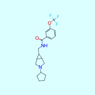 O=C(NCC1C2CN(C3CCCC3)CC12)c1cccc(OC(F)(F)F)c1